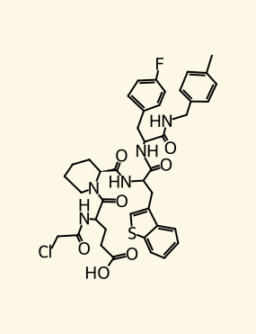 Cc1ccc(CNC(=O)C(Cc2ccc(F)cc2)NC(=O)C(Cc2csc3ccccc23)NC(=O)[C@@H]2CCCCN2C(=O)C(CCC(=O)O)NC(=O)CCl)cc1